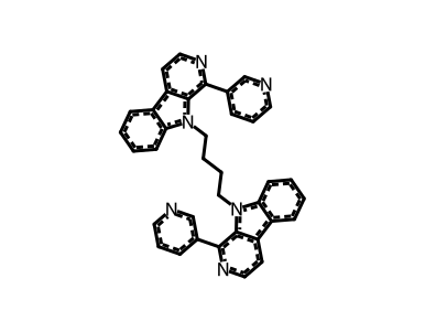 c1cncc(-c2nccc3c4ccccc4n(CCCCn4c5ccccc5c5ccnc(-c6cccnc6)c54)c23)c1